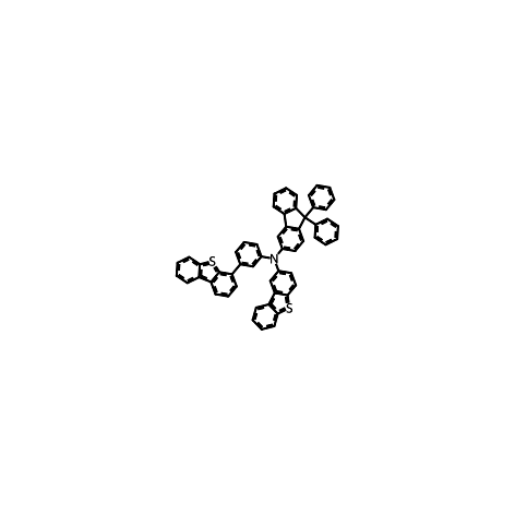 c1ccc(C2(c3ccccc3)c3ccccc3-c3cc(N(c4cccc(-c5cccc6c5sc5ccccc56)c4)c4ccc5sc6ccccc6c5c4)ccc32)cc1